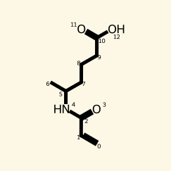 C=CC(=O)NC(C)CCCC(=O)O